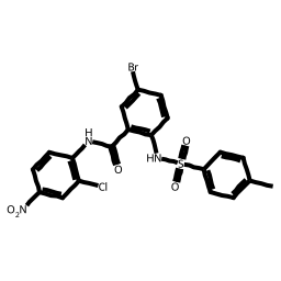 Cc1ccc(S(=O)(=O)Nc2ccc(Br)cc2C(=O)Nc2ccc([N+](=O)[O-])cc2Cl)cc1